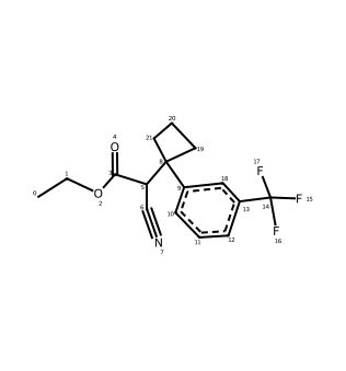 CCOC(=O)C(C#N)C1(c2cccc(C(F)(F)F)c2)CCC1